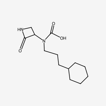 O=C1NCC1N(CCCC1CCCCC1)C(=O)O